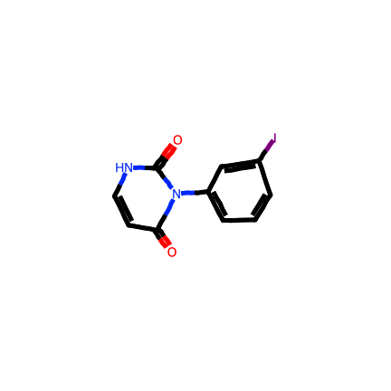 O=c1cc[nH]c(=O)n1-c1cccc(I)c1